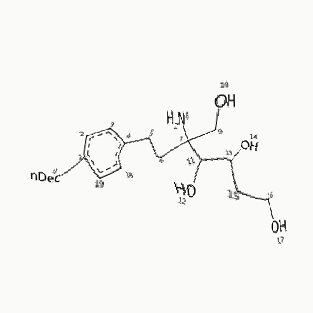 CCCCCCCCCCc1ccc(CCC(N)(CO)C(O)C(O)CCO)cc1